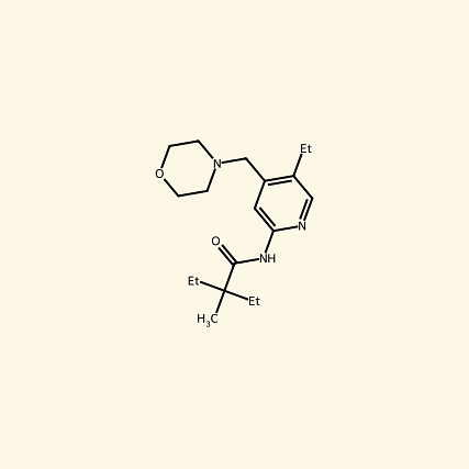 CCc1cnc(NC(=O)C(C)(CC)CC)cc1CN1CCOCC1